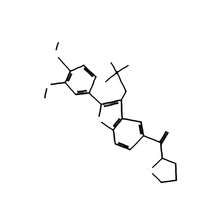 COc1ccc(-c2[nH]c3ccc(C(=O)C4CCCN4)cc3c2CC(F)(F)F)cc1OC